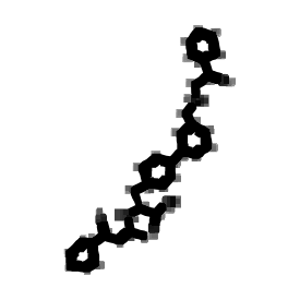 C/C(=C/C(=O)c1ccccc1)N[C@@H](Cc1ccc(-c2cccc(CNCC(=O)c3ccccc3)c2)cc1)C(=O)O